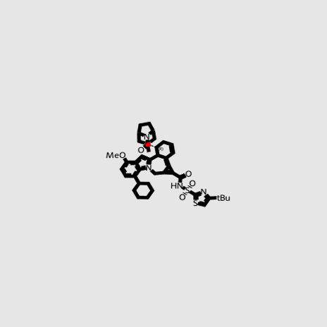 COc1ccc(C2CCCCC2)c2c1cc1n2CC2=C(C(=O)NS(=O)(=O)c3nc(C(C)(C)C)cs3)C2=C2C=CC[C@@H](C(=O)N3C4CCC3CN(C)C4)C21